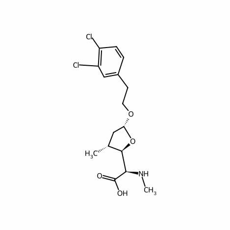 CN[C@@H](C(=O)O)[C@@H]1O[C@@H](OCCc2ccc(Cl)c(Cl)c2)C[C@H]1C